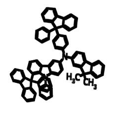 CC1(C)c2ccccc2-c2ccc(N(c3ccc(C4(c5ccccc5)c5ccccc5-c5ccccc54)cc3)c3ccc4c(c3)c3cccc(C5(c6ccccc6)c6ccccc6-c6ccccc65)c3n4-c3ccccc3)cc21